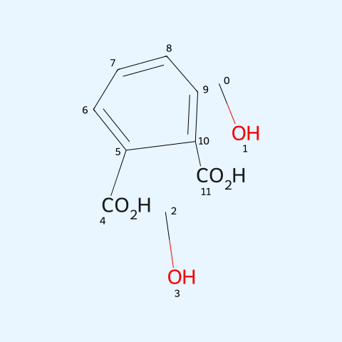 CO.CO.O=C(O)c1ccccc1C(=O)O